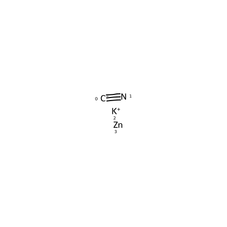 [C-]#N.[K+].[Zn]